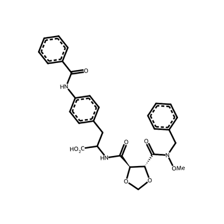 CON(Cc1ccccc1)C(=O)[C@@H]1OCO[C@H]1C(=O)NC(Cc1ccc(NC(=O)c2ccccc2)cc1)C(=O)O